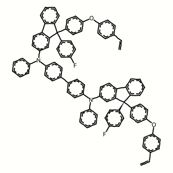 C=Cc1ccc(Oc2ccc(C3(c4ccc(F)cc4)c4ccccc4-c4ccc(N(c5ccccc5)c5ccc(-c6ccc(N(c7ccccc7)c7ccc8c(c7)[C@@](c7ccc(F)cc7)(c7ccc(Oc9ccc(C=C)cc9)cc7)c7ccccc7-8)cc6)cc5)cc43)cc2)cc1